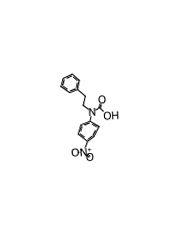 O=C(O)N(CCc1ccccc1)c1ccc([N+](=O)[O-])cc1